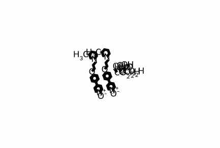 C[C@H]1CCCN(CCCOc2ccc(-c3cc[n+]([O-])cc3)cc2)C1.C[C@H]1CCCN(CCCOc2ccc(-c3cc[n+]([O-])cc3)cc2)C1.O.O.O=C(O)CO.O=C(O)CO.O=C(O)CO